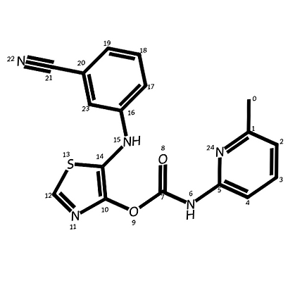 Cc1cccc(NC(=O)Oc2ncsc2Nc2cccc(C#N)c2)n1